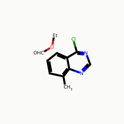 CCOC=O.Cc1cccc2c(Cl)ncnc12